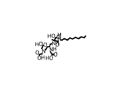 CCCCCCCCCCNC(=O)C(C)(NCC(CCN(CC(=O)O)CC(=O)O)NCC(=O)O)C(=O)O